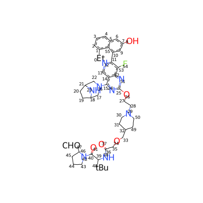 CCc1cccc2cc(O)cc(-c3ncc4c(N5CC6CCC(C5)N6)nc(OCCN5CCC(COCC(=O)NC(C(=O)N6CCCC6C=O)C(C)(C)C)CC5)nc4c3F)c12